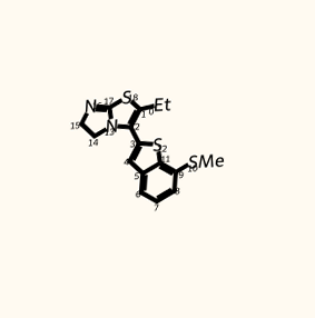 CCC1=C(c2cc3cccc(SC)c3s2)N2CCN=C2S1